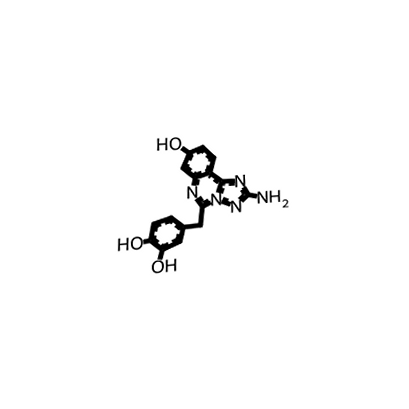 Nc1nc2c3ccc(O)cc3nc(Cc3ccc(O)c(O)c3)n2n1